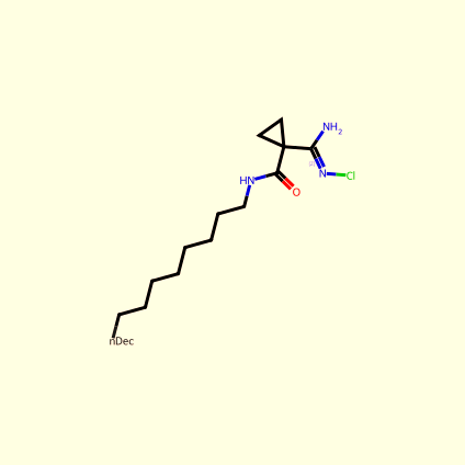 CCCCCCCCCCCCCCCCCCNC(=O)C1(/C(N)=N/Cl)CC1